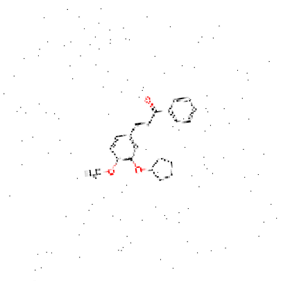 COc1ccc(C=CC(=O)c2ccccc2)cc1OC1CCCC1